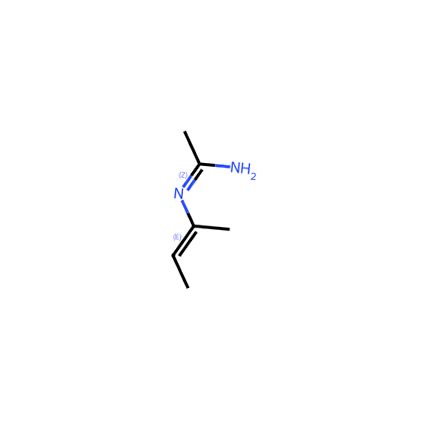 C/C=C(C)/N=C(/C)N